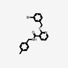 Cc1ccc(CNC(=O)c2cccnc2SCc2cccc(Br)c2)cc1